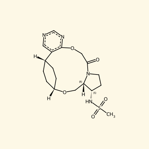 CS(=O)(=O)N[C@H]1CCN2C(=O)COc3ncncc3[C@H]3CC[C@H](CC3)OC[C@@H]12